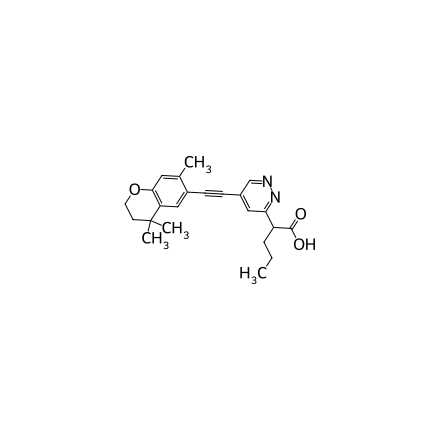 CCCC(C(=O)O)c1cc(C#Cc2cc3c(cc2C)OCCC3(C)C)cnn1